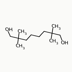 CC(C)(CO)CCCCC(C)(C)CO